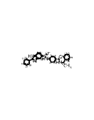 C[C@@H](NC(=O)[C@H]1CC[C@H](N[S+]([O-])c2ccc3[nH]c(-c4ccccc4)nc3c2)CC1)c1ccccc1